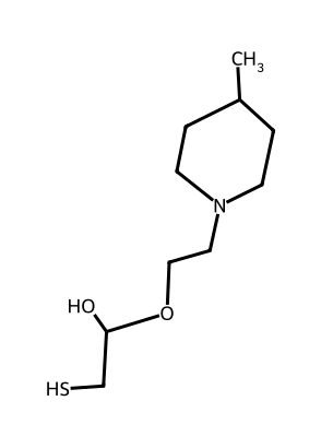 CC1CCN(CCOC(O)CS)CC1